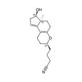 C[C@]12CCC3=C(CC[C@H](CCCC#N)O3)C1=CC[C@H]2O